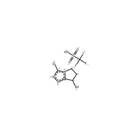 O=S(=O)(O)C(F)(F)F.SC1CCn2c(Cl)nnc21